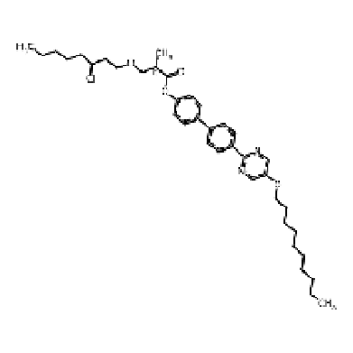 CCCCCCCCCCOc1cnc(-c2ccc(-c3ccc(OC(=O)[C@H](C)COCCC(Cl)CCCCC)cc3)cc2)nc1